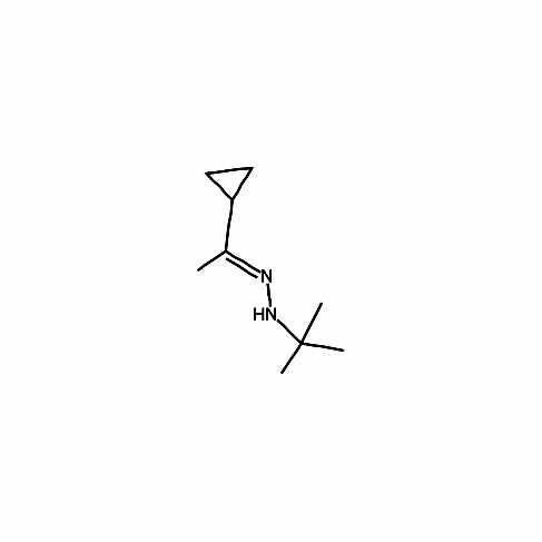 CC(=NNC(C)(C)C)C1CC1